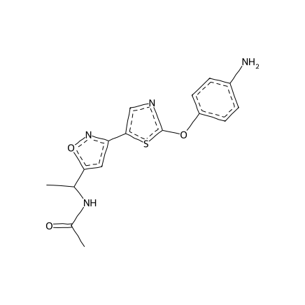 CC(=O)NC(C)c1cc(-c2cnc(Oc3ccc(N)cc3)s2)no1